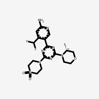 C[C@@H]1COCCN1c1nc(-c2cnc(N)cc2C(F)F)nc(N2CCS(=O)(=O)CC2)n1